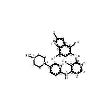 CCN1CCN(c2ccc(Nc3ncnc(Oc4cc(F)c5[nH]c(C)cc5c4F)c3F)nc2)CC1